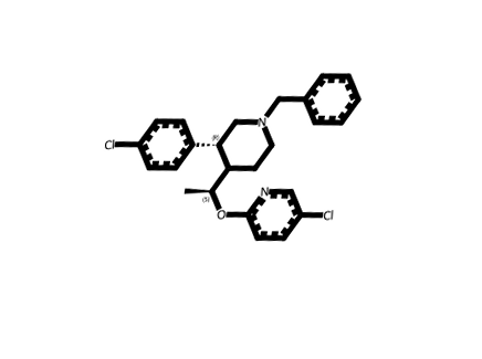 C[C@H](Oc1ccc(Cl)cn1)C1CCN(Cc2ccccc2)C[C@H]1c1ccc(Cl)cc1